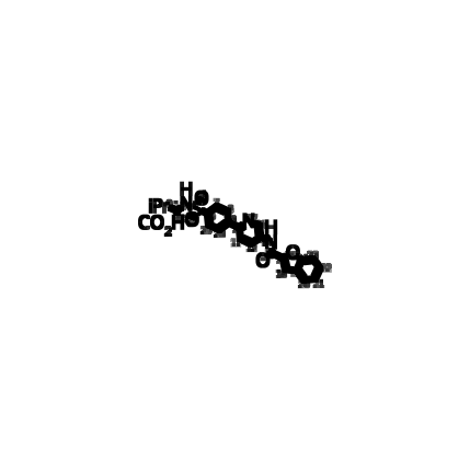 CC(C)C(NS(=O)(=O)c1ccc(-c2ccc(NC(=O)c3cc4ccccc4o3)cn2)cc1)C(=O)O